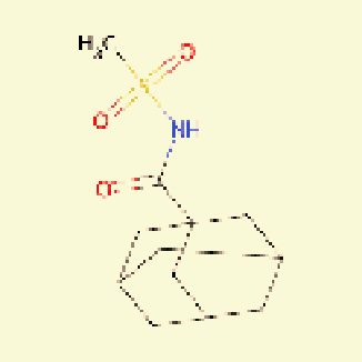 CS(=O)(=O)NC(=O)C12CC3CC(CC(C3)C1)C2